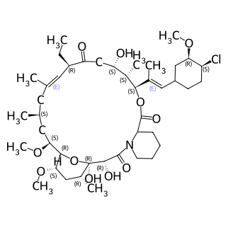 CC[C@@H]1/C=C(\C)C[C@H](C)C[C@H](OC)[C@H]2O[C@](O)([C@H](C)C[C@@H]2OC)[C@@H](O)C(=O)N2CCCCC2C(=O)O[C@H](/C(C)=C/C2CC[C@H](Cl)[C@H](OC)C2)[C@@H](C)[C@@H](O)CC1=O